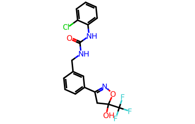 O=C(NCc1cccc(C2=NOC(O)(C(F)(F)F)C2)c1)Nc1ccccc1Cl